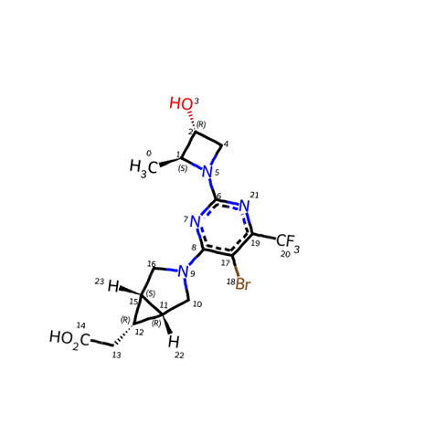 C[C@H]1[C@H](O)CN1c1nc(N2C[C@@H]3[C@H](CC(=O)O)[C@@H]3C2)c(Br)c(C(F)(F)F)n1